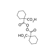 O=C(O)C1(C(=O)OOC(=O)C2(C(=O)O)CCCCC2)CCCCC1